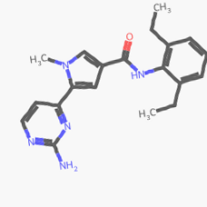 CCc1cccc(CC)c1NC(=O)c1cc(-c2ccnc(N)n2)n(C)c1